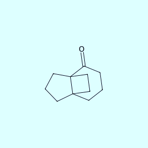 O=C1CCCC23CCCC12CC3